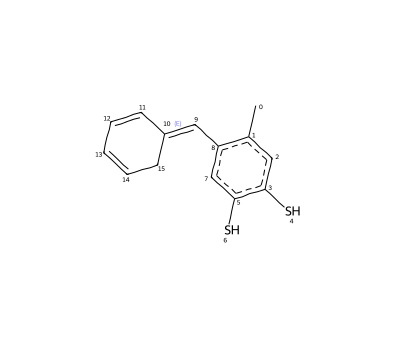 Cc1cc(S)c(S)cc1/C=C1/C=CC=CC1